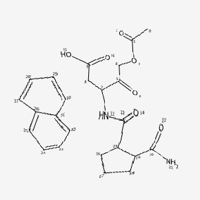 CC(=O)OCC(=O)C(CC(=O)O)NC(=O)C1CCCC1C(N)=O.c1ccc2ccccc2c1